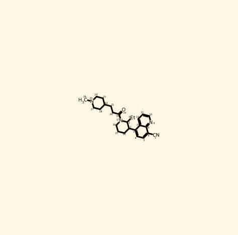 CCC1C(c2ccc(C#N)c3ncccc23)CCCN1C(=O)CCC1CCN(C)CC1